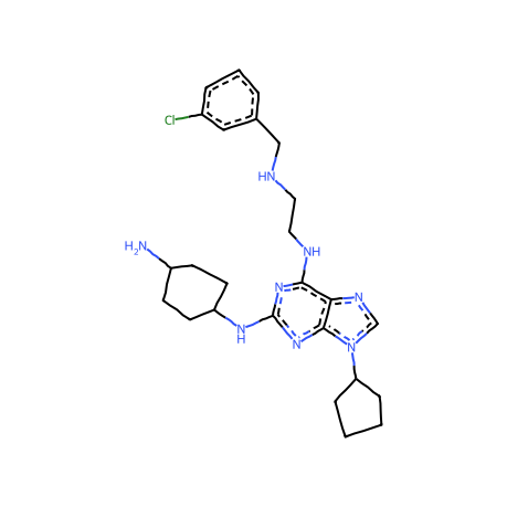 NC1CCC(Nc2nc(NCCNCc3cccc(Cl)c3)c3ncn(C4CCCC4)c3n2)CC1